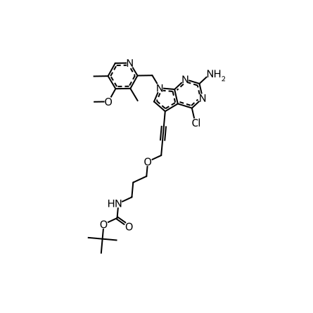 COc1c(C)cnc(Cn2cc(C#CCOCCCNC(=O)OC(C)(C)C)c3c(Cl)nc(N)nc32)c1C